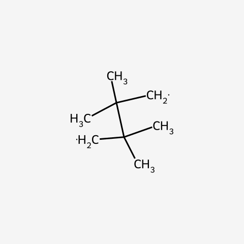 [CH2]C(C)(C)C([CH2])(C)C